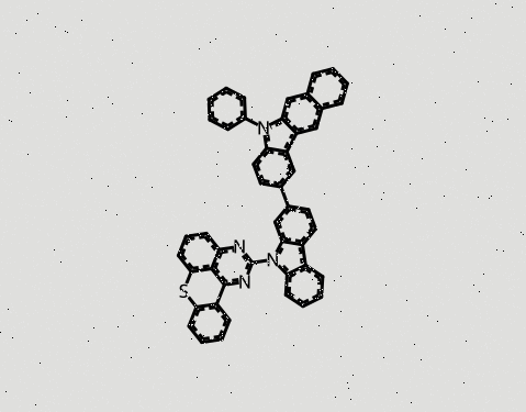 c1ccc(-n2c3ccc(-c4ccc5c6ccccc6n(-c6nc7c8c(cccc8n6)Sc6ccccc6-7)c5c4)cc3c3cc4ccccc4cc32)cc1